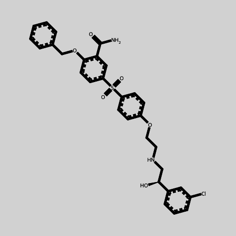 NC(=O)c1cc(S(=O)(=O)c2ccc(OCCNC[C@H](O)c3cccc(Cl)c3)cc2)ccc1OCc1ccccc1